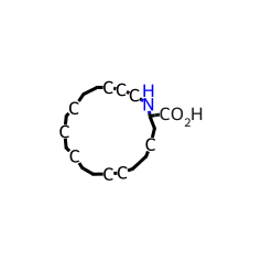 O=C(O)C1CCCCCCCCCCCCCCCCCCN1